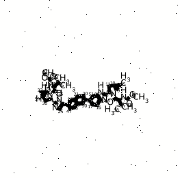 COC(=O)N[C@H](C(=O)N1C2C(C[C@H]1c1nc3ccc(-c4ccc5cc(-c6cnc([C@@H]7C[C@H]8C[C@H]8N7C(=O)[C@@H](NC(=O)OC)C(C)C)[nH]6)ccc5c4)cc3[nH]1)[C@H]2C)C(C)C